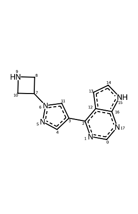 c1nc(-c2cnn(C3CNC3)c2)c2cc[nH]c2n1